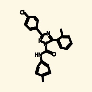 Cc1ccc(NC(=O)n2nc(-c3ccc(Cl)cc3)nc2-c2ccccc2C)cc1